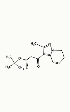 Cc1nn2c(c1C(=O)CC(=O)OC(C)(C)C)C=CCC2